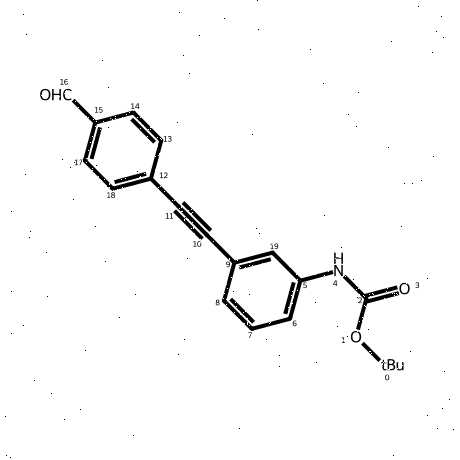 CC(C)(C)OC(=O)Nc1cccc(C#Cc2ccc(C=O)cc2)c1